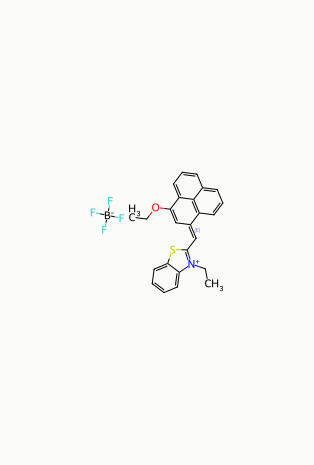 CCOc1c/c(=C\c2sc3ccccc3[n+]2CC)c2cccc3cccc1c32.F[B-](F)(F)F